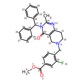 COC(=O)c1ccc(CN2CCc3nc(C)n(C(c4ccccc4)c4ccccc4)c(=O)c3C2)c(F)c1